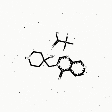 O=C(O)C(F)(F)F.O=c1c2ccncc2ncn1CC1(O)CCNCC1